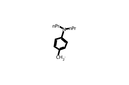 [CH2]c1ccc(N(CCC)CCC)cc1